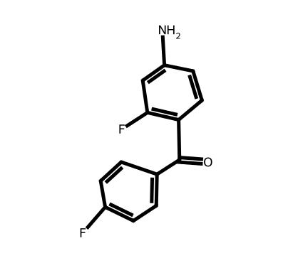 Nc1ccc(C(=O)c2ccc(F)cc2)c(F)c1